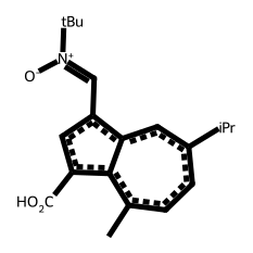 Cc1ccc(C(C)C)cc2c(/C=[N+](\[O-])C(C)(C)C)cc(C(=O)O)c1-2